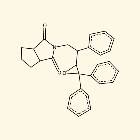 O=C1C2CCCC2C(=O)N1CC(c1ccccc1)C1OC1(c1ccccc1)c1ccccc1